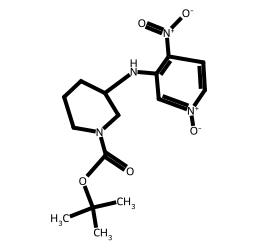 CC(C)(C)OC(=O)N1CCCC(Nc2c[n+]([O-])ccc2[N+](=O)[O-])C1